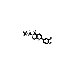 CC(C)(C)OC(=O)N1CCc2nc(-c3ccc(F)c(F)c3)ccc2C1=O